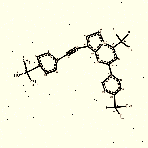 CC(C)(O)c1ccc(C#Cc2cnn3c(C(F)(F)F)cc(-c4ccc(C(F)(F)F)cc4)nc23)cc1